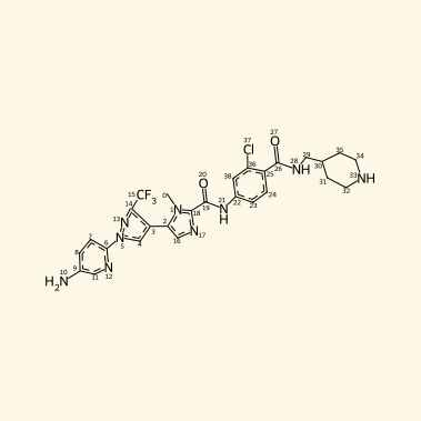 Cn1c(-c2cn(-c3ccc(N)cn3)nc2C(F)(F)F)cnc1C(=O)Nc1ccc(C(=O)NCC2CCNCC2)c(Cl)c1